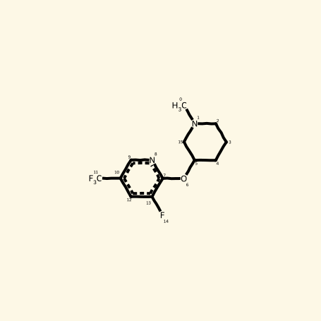 CN1CCCC(Oc2ncc(C(F)(F)F)cc2F)C1